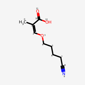 CC(=COCCCCC#N)C(=O)O